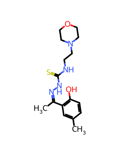 CC(=NNC(=S)NCCN1CCOCC1)c1cc(C)ccc1O